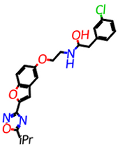 CC(C)c1nc(-c2cc3cc(OCCNC(O)Cc4cccc(Cl)c4)ccc3o2)no1